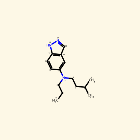 CCCN(CCC(C)C)c1ccc2[nH]ncc2c1